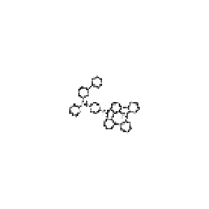 c1ccc(-c2cccc(N(c3ccccc3)c3ccc(-n4c5cccc6c7ccccc7n7c8ccccc8c8ccc4c(c65)c87)cc3)c2)cc1